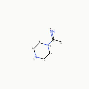 CC(=N)N1CC[N]CC1